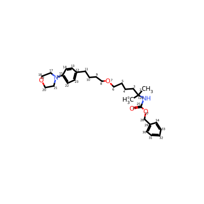 CC(C)(CCCCOCCCCc1ccc(N2CCOCC2)cc1)NC(=O)OCc1ccccc1